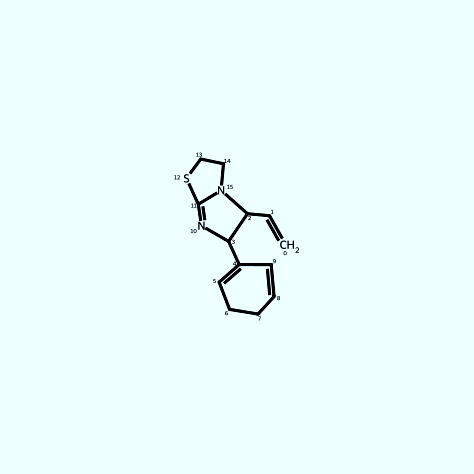 C=CC1C(C2=CCCC=C2)N=C2SCCN21